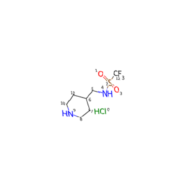 Cl.O=S(=O)(NCC1CCNCC1)C(F)(F)F